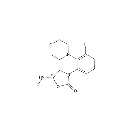 CN[C@@H]1CN(c2cccc(F)c2N2CCOCC2)C(=O)O1